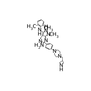 Cc1cccc(C)c1NC1=C2C=NC(N)(c3ccc(N4CCN(CC5CNC5)CC4)cc3)N=C2N(C)N1